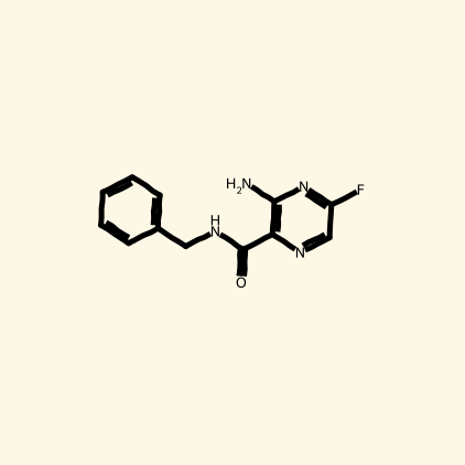 Nc1nc(F)cnc1C(=O)NCc1ccccc1